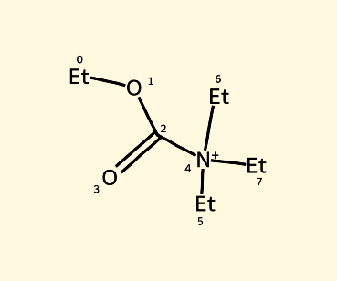 CCOC(=O)[N+](CC)(CC)CC